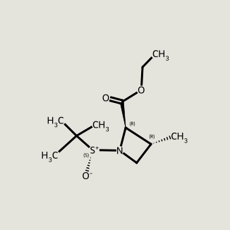 CCOC(=O)[C@H]1[C@H](C)CN1[S@+]([O-])C(C)(C)C